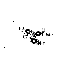 CCn1cc2cc(CN(c3ncc(C(F)(F)F)cc3Cl)S(=O)(=O)c3ccc(C(=O)OC)cc3)ccc2n1